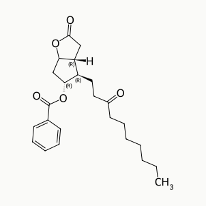 CCCCCCCC(=O)CC[C@H]1[C@H](OC(=O)c2ccccc2)CC2OC(=O)C[C@@H]21